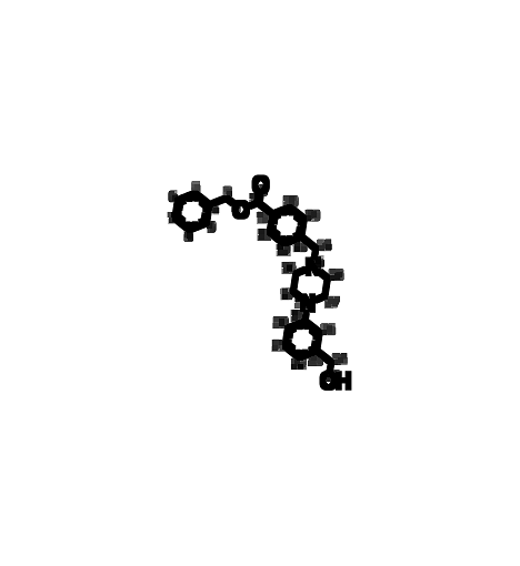 O=C(OCc1ccccc1)c1ccc(CN2CCN(c3cccc(CO)c3)CC2)cc1